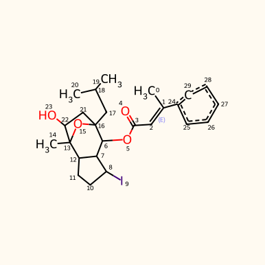 C/C(=C\C(=O)OC1C2C(I)CCC2C2(C)OC1(CC(C)C)CC2O)c1ccccc1